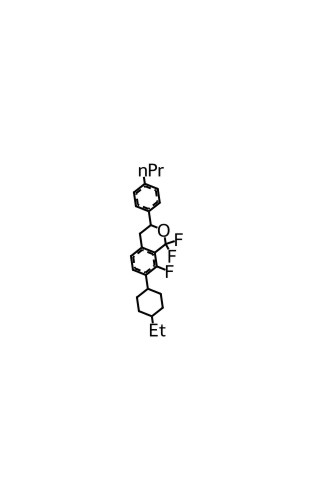 CCCc1ccc(C2Cc3ccc(C4CCC(CC)CC4)c(F)c3C(F)(F)O2)cc1